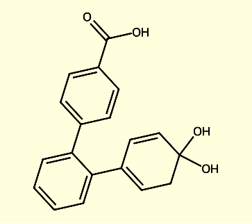 O=C(O)c1ccc(-c2ccccc2C2=CCC(O)(O)C=C2)cc1